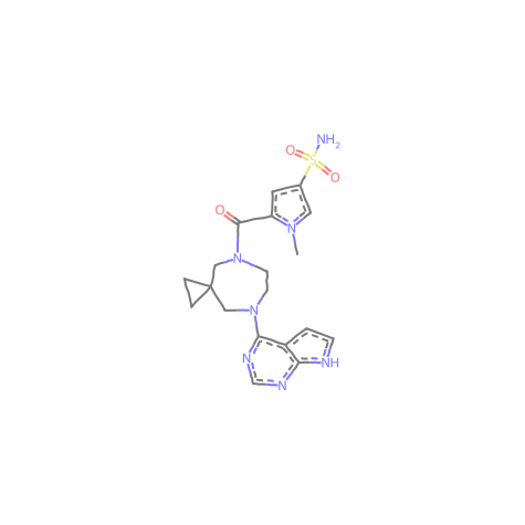 Cn1cc(S(N)(=O)=O)cc1C(=O)N1CCN(c2ncnc3[nH]ccc23)CC2(CC2)C1